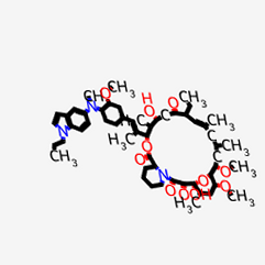 CCCn1ccc2cc(N(C)C3CCC(C=C(C)C4OC(=O)C5CCCCN5C(=O)C(=O)C5(O)OC(C(OC)CC(C)C/C(C)=C/C(CC)C(=O)CC(O)C4C)C(OC)CC5C)CC3OC)ccc21